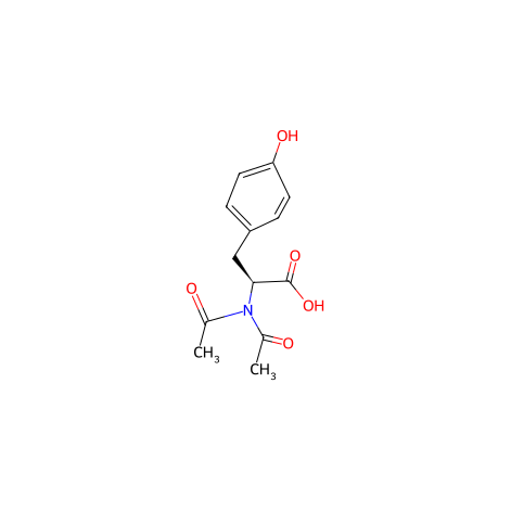 CC(=O)N(C(C)=O)[C@@H](Cc1ccc(O)cc1)C(=O)O